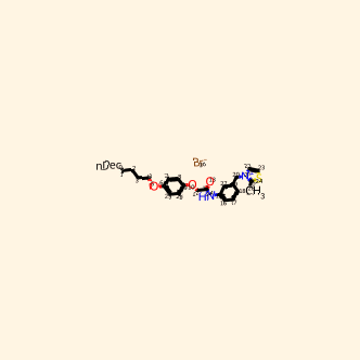 CCCCCCCCCCCCCCOc1ccc(OCC(=O)Nc2cccc(C[n+]3ccsc3C)c2)cc1.[Br-]